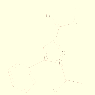 CCOC(=O)c1cc(-c2ccccc2)n(C(C)=O)n1